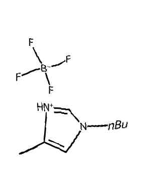 CCCCn1c[nH+]c(C)c1.F[B-](F)(F)F